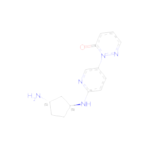 N[C@H]1CC[C@H](Nc2ccc(-n3ncccc3=O)cn2)C1